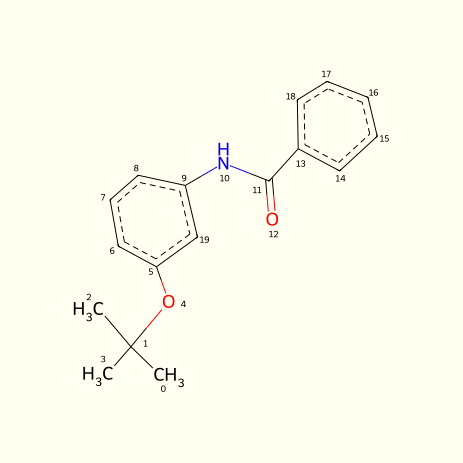 CC(C)(C)Oc1cccc(NC(=O)c2ccccc2)c1